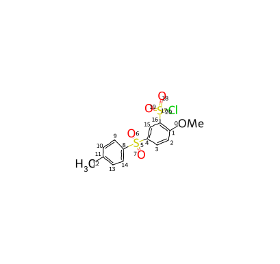 COc1ccc(S(=O)(=O)c2ccc(C)cc2)cc1S(=O)(=O)Cl